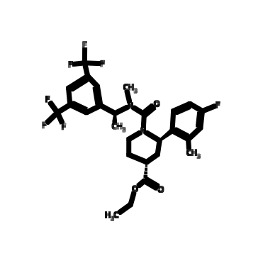 CCOC(=O)[C@@H]1CCN(C(=O)N(C)[C@@H](C)c2cc(C(F)(F)F)cc(C(F)(F)F)c2)[C@@H](c2ccc(F)cc2C)C1